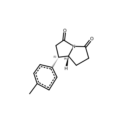 Cc1ccc([C@@H]2CC(=O)N3C(=O)CC[C@H]23)cc1